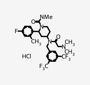 CNC(=O)N1CCC(N(Cc2cc(C(F)(F)F)cc(C(F)(F)F)c2)C(=O)CN(C)C)CC1c1ccc(F)cc1C.Cl